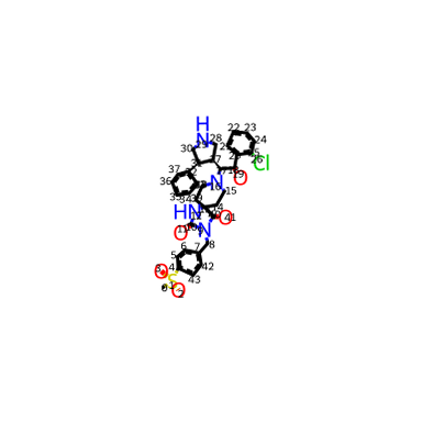 CS(=O)(=O)c1ccc(CN2C(=O)NC3(CCN(C(C(=O)c4ccccc4Cl)[C@@H]4CNC[C@@H]4c4ccccc4)CC3)C2=O)cc1